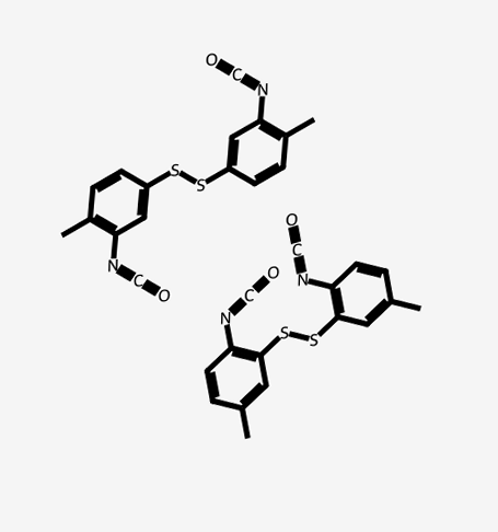 Cc1ccc(N=C=O)c(SSc2cc(C)ccc2N=C=O)c1.Cc1ccc(SSc2ccc(C)c(N=C=O)c2)cc1N=C=O